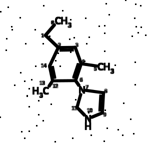 CCc1cc(C)c(N2C=CNC2)c(C)c1